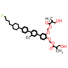 C=C(CO)C(=O)OCOc1ccc(-c2ccc(-c3ccc(C4CCC(CCCCF)CC4)cc3)c(CC)c2)cc1OCOC(=O)C(=C)CO